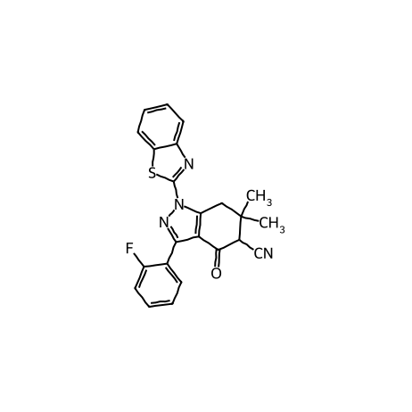 CC1(C)Cc2c(c(-c3ccccc3F)nn2-c2nc3ccccc3s2)C(=O)C1C#N